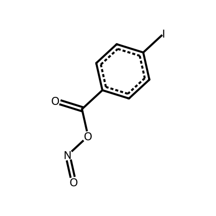 O=NOC(=O)c1ccc(I)cc1